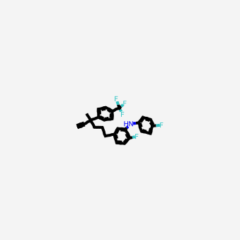 C#CC(C)(CCCc1ccc(F)c(Nc2ccc(F)cc2)c1)c1ccc(C(F)(F)F)cc1